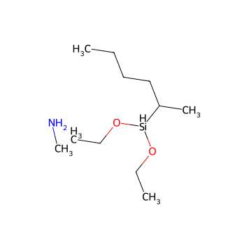 CCCCC(C)[SiH](OCC)OCC.CN